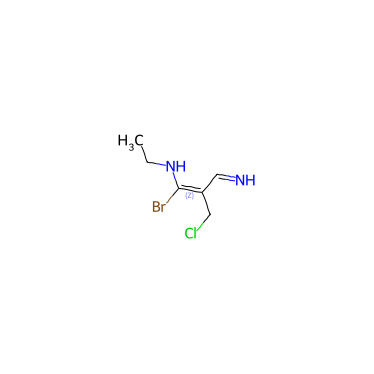 CCN/C(Br)=C(\C=N)CCl